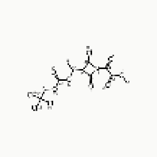 COC(=O)C(=O)N1C(=O)C(C(C)OC(=O)OCC(Cl)(Cl)Cl)C1Cl